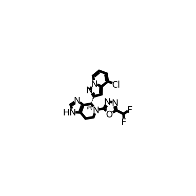 FC(F)c1nnc(N2CCc3[nH]cnc3[C@@H]2c2cc3c(Cl)cccn3n2)o1